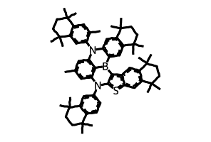 Cc1cc2c3c(c1)N(c1ccc4c(c1)C(C)(C)CCC4(C)C)c1sc4cc5c(cc4c1B3c1cc3c(cc1N2c1cc2c(cc1C)C(C)(C)CCC2(C)C)C(C)(C)CCC3(C)C)C(C)(C)CCC5(C)C